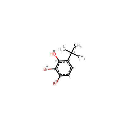 CC(C)(C)c1ccc(Br)c(Br)c1O